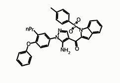 CCCc1cc(-n2ncc(C(=O)c3cc4ccccc4n3S(=O)(=O)c3ccc(C)cc3)c2N)ccc1Oc1ccccc1